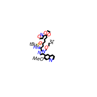 COc1cc2ncccc2cc1-c1cnc(C(CCCCCC2(c3ccon3)OCCO2)N[S@+]([O-])C(C)(C)C)n1COCC[Si](C)(C)C